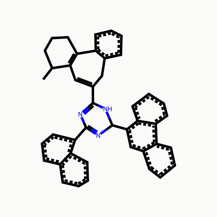 CC1CCCC2=C1C=C(C1=NC(c3cccc4ccccc34)=NC(c3cc4ccccc4c4ccccc34)N1)Cc1ccccc12